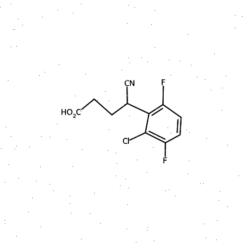 N#CC(CCC(=O)O)c1c(F)ccc(F)c1Cl